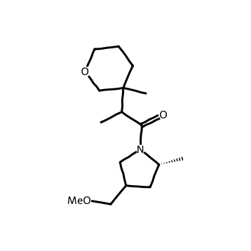 COCC1C[C@@H](C)N(C(=O)C(C)C2(C)CCCOC2)C1